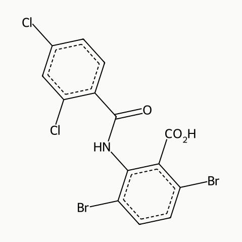 O=C(Nc1c(Br)ccc(Br)c1C(=O)O)c1ccc(Cl)cc1Cl